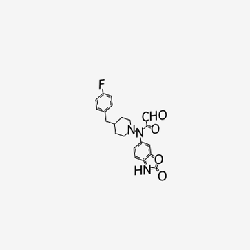 O=CC(=O)N(c1ccc2[nH]c(=O)oc2c1)N1CCC(Cc2ccc(F)cc2)CC1